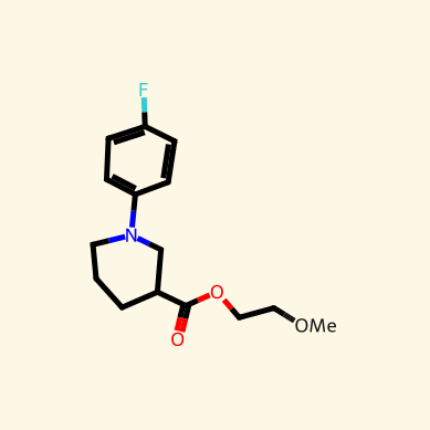 COCCOC(=O)C1CCCN(c2ccc(F)cc2)C1